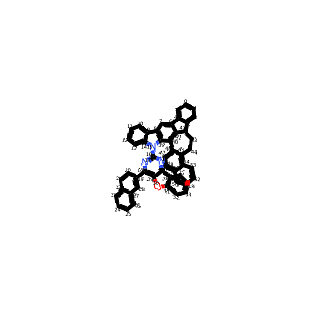 c1ccc2c(c1)-c1cc3c4ccccc4n(-c4nc(-c5ccc6ccccc6c5)c5oc6ccccc6c5n4)c3c3c1C2CCc1c-3ccc2ccccc12